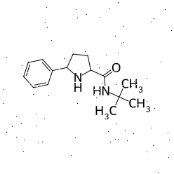 CC(C)(C)NC(=O)C1CCC(c2ccccc2)N1